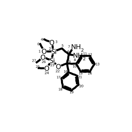 CO[Si]1(OC)CC(N)(N)C(c2ccccc2)(c2ccccc2)O[Si]1(OC)OC